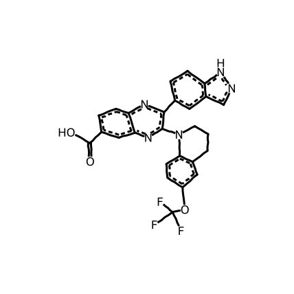 O=C(O)c1ccc2nc(-c3ccc4[nH]ncc4c3)c(N3CCCc4cc(OC(F)(F)F)ccc43)nc2c1